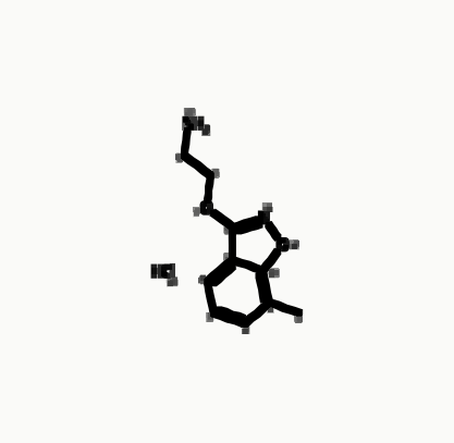 Cc1cccc2c(OCCN)noc12.Cl